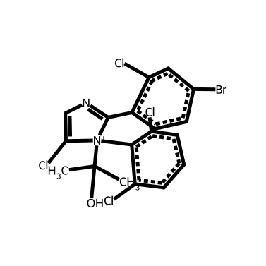 CC(C)(O)[N+]1(c2c(Cl)cccc2Cl)C(Cl)=CN=C1c1ccc(Br)cc1Cl